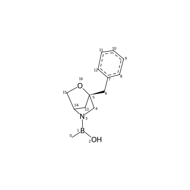 CB(O)N1C[C@]2(Cc3ccccc3)CC1CO2